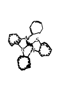 C1=CCCC(N2c3ccccc3N(c3ccccc3)C23Sc2ccccc2N3c2ccccc2)=C1